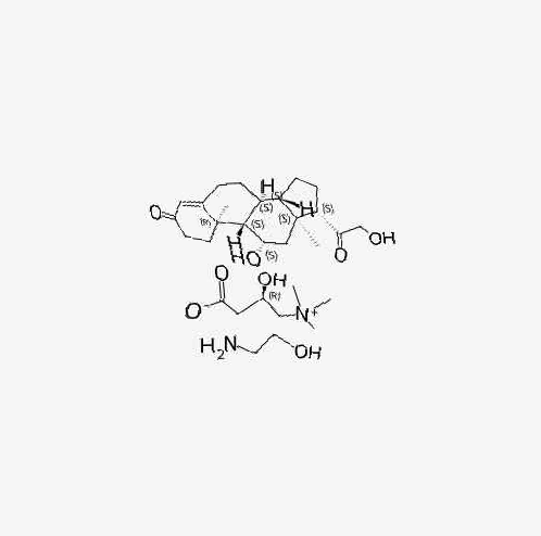 C[C@]12C[C@H](O)[C@H]3[C@@H](CCC4=CC(=O)CC[C@@]43C)[C@@H]1CC[C@@H]2C(=O)CO.C[N+](C)(C)C[C@H](O)CC(=O)[O-].NCCO